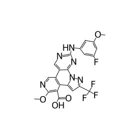 COc1cc(F)cc(Nc2ncc3c4cnc(OC)c(C(=O)O)c4c4cc(C(F)(F)F)nn4c3n2)c1